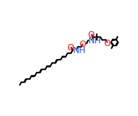 CCC=CCC=CCC=CCC=CCC=CCC=CCCC(=O)NCCOCCNC(=O)C(C)(C)CCCOc1cc(C)ccc1C